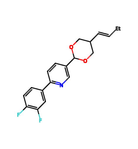 CCC=CC1COC(c2ccc(-c3ccc(F)c(F)c3)nc2)OC1